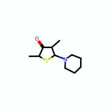 CC1SC(N2CCCCC2)C(C)C1=O